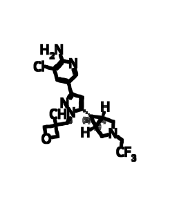 CC1(Cn2nc(-c3cnc(N)c(Cl)c3)cc2[C@@H]2[C@@H]3CN(CC(F)(F)F)C[C@@H]32)COC1